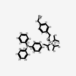 CC(C)[Si](OCc1ccc(CBr)cc1)(C(C)C)C(C)C.c1ccc(P(c2ccccc2)c2ccccc2)cc1